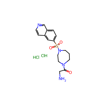 Cl.Cl.NCC(=O)N1CCCN(S(=O)(=O)c2ccc3cnccc3c2)CC1